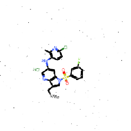 CNCc1cn(S(=O)(=O)c2cccc(F)c2)c2cc(Nc3ccc(Cl)nc3C)cnc12.Cl